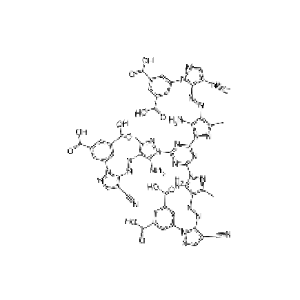 [C-]#[N+]c1cnn(-c2cc(C(=O)O)cc(C(=O)O)c2)c1/N=N/c1c(C)nn(-c2nc(-n3nc(C)c(N=Nc4c(C#N)cnn4-c4cc(C(=O)O)cc(C(=O)O)c4)c3N)nc(-n3nc(C)c(/N=N/c4c(C#N)cnn4-c4cc(C(=O)O)cc(C(=O)O)c4)c3N)n2)c1N